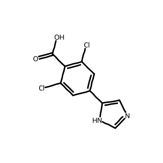 O=C(O)c1c(Cl)cc(-c2cnc[nH]2)cc1Cl